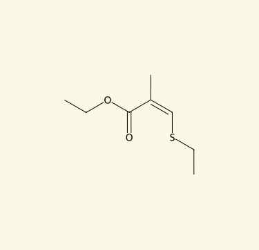 CCOC(=O)/C(C)=C\SCC